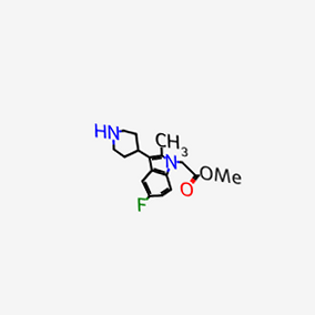 COC(=O)Cn1c(C)c(C2CCNCC2)c2cc(F)ccc21